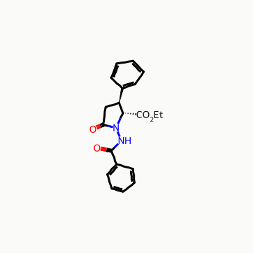 CCOC(=O)[C@H]1[C@H](c2ccccc2)CC(=O)N1NC(=O)c1ccccc1